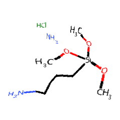 CO[Si](CCCN)(OC)OC.Cl.N